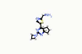 NCc1ncc(-c2nc(N3CCC3)nc3c2CCC3)s1